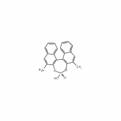 Cc1cc2ccccc2c2c1OP(=O)(O)Oc1c(C)cc3ccccc3c1-2